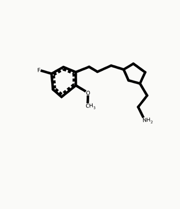 COc1ccc(F)cc1CCCC1CCC(CCN)C1